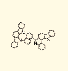 c1ccc(-n2c3ccccc3c3ccc4c5ccccc5n(-c5ccc(-c6nc7ccccc7c7c6ccc6c8ccccc8sc67)cc5)c4c32)cc1